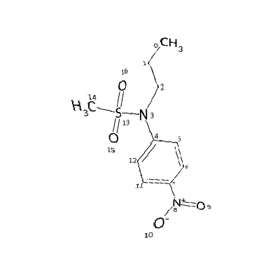 CCCN(c1ccc([N+](=O)[O-])cc1)S(C)(=O)=O